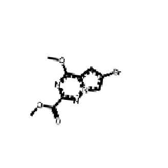 COC(=O)c1nc(OC)c2cc(Br)cn2n1